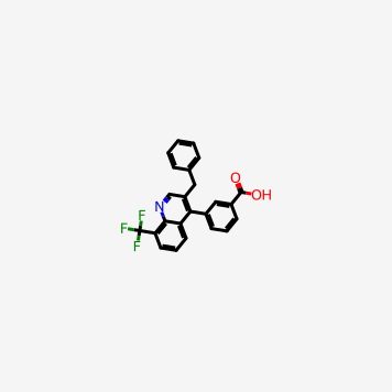 O=C(O)c1cccc(-c2c(Cc3ccccc3)cnc3c(C(F)(F)F)cccc23)c1